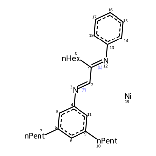 CCCCCCC(/C=N/c1cc(CCCCC)cc(CCCCC)c1)=N\c1ccccc1.[Ni]